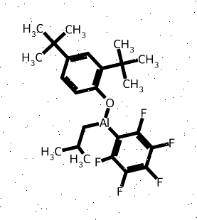 CC(C)[CH2][Al]([O]c1ccc(C(C)(C)C)cc1C(C)(C)C)[c]1c(F)c(F)c(F)c(F)c1F